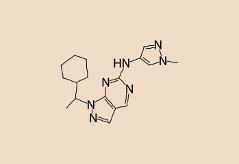 CC(C1CCCCC1)n1ncc2cnc(Nc3cnn(C)c3)nc21